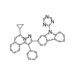 c1ccc(-c2c(-c3ccc4c5ccccc5n(-c5ncncn5)c4c3)nn3c(C4CC4)cc4ccccc4c23)cc1